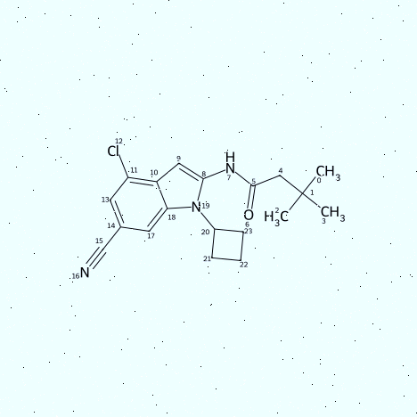 CC(C)(C)CC(=O)Nc1cc2c(Cl)cc(C#N)cc2n1C1CCC1